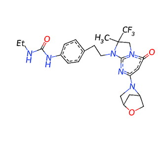 CCNC(=O)Nc1ccc(CCN2c3nc(N4CC5CC4CO5)cc(=O)n3CC2(C)C(F)(F)F)cc1